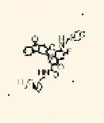 CN1CCCC1CCNC(=O)c1cn2c3cc4c(cc3oc3c(NCCN5CCOCC5)c(F)cc(c1=O)c32)c(=O)c1ccccc14